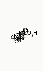 CC(C)C(CN1CCC(Nc2nc3ccccc3n2C2CCCc3ccc(Br)nc32)CC1)N(C(=O)O)C(C)(C)C